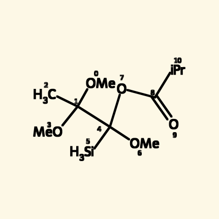 COC(C)(OC)C([SiH3])(OC)OC(=O)C(C)C